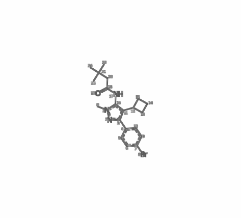 Cn1nc(-c2ccc(Br)cc2)c(C2CCC2)c1NC(=O)CC(C)(C)C